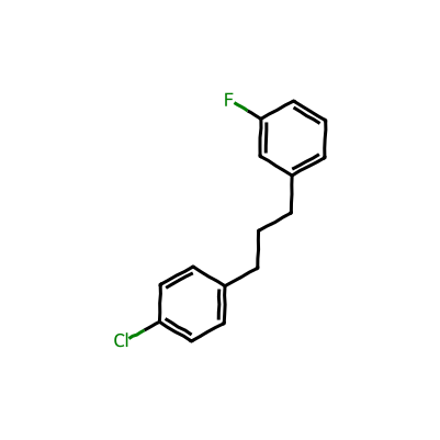 Fc1cccc(CCCc2ccc(Cl)cc2)c1